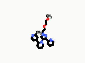 COCCOCCn1cc(N2CC=CC=C2c2ccnc(C)c2)c(-c2ccccn2)n1